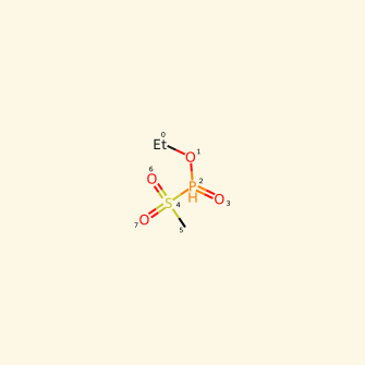 CCO[PH](=O)S(C)(=O)=O